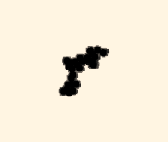 c1ccc(-c2cccc(-c3c4ccccc4c(-c4ccc(-c5ccc(-c6c7ccccc7c(-c7cc(-c8ccc9cc(-c%10c%11ccccc%11c(-c%11cccc%12oc%13c%14ccccc%14ccc%13c%11%12)c%11ccccc%10%11)ccc9c8)cc8oc9c%10ccccc%10ccc9c78)c7ccccc67)c6ccccc56)c5oc6c7ccccc7ccc6c45)c4ccccc34)c2)cc1